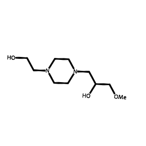 COCC(O)CN1CCN(CCO)CC1